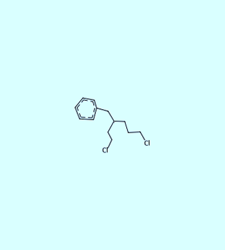 ClCCC[C](CCCl)Cc1ccccc1